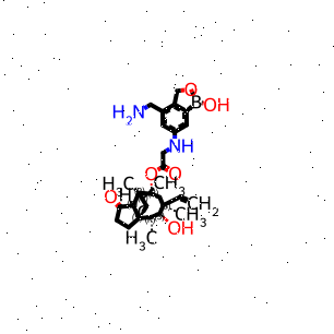 C=C[C@]1(C)C[C@@H](OC(=O)CNc2cc(CN)c3c(c2)B(O)OC3)[C@]2(C)[C@H](C)CC[C@]3(CCC(=O)[C@H]32)[C@@H](C)[C@@H]1O